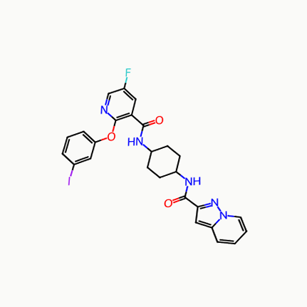 O=C(NC1CCC(NC(=O)c2cc(F)cnc2Oc2cccc(I)c2)CC1)c1cc2ccccn2n1